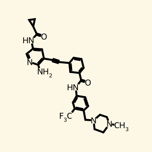 CN1CCN(Cc2ccc(NC(=O)c3cccc(C#Cc4cc(NC(=O)C5CC5)cnc4N)c3)cc2C(F)(F)F)CC1